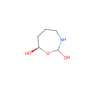 OC1NCCC[C@H](O)O1